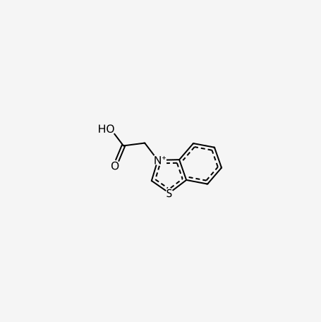 O=C(O)C[n+]1csc2ccccc21